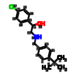 CC(C)(C)c1ccc(CNC[C@H](O)c2ccc(Cl)cc2)cc1